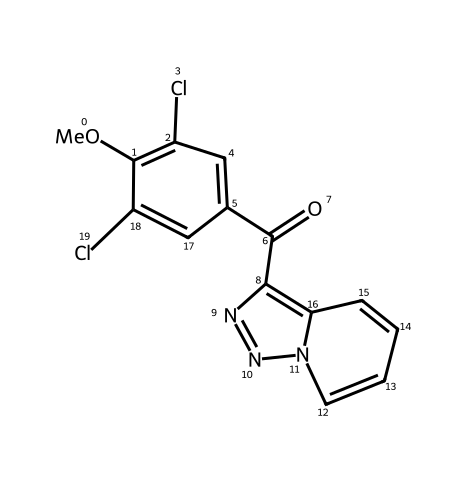 COc1c(Cl)cc(C(=O)c2nnn3ccccc23)cc1Cl